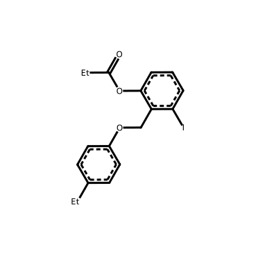 CCC(=O)Oc1cccc(I)c1COc1ccc(CC)cc1